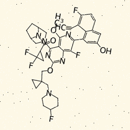 C#Cc1c(F)ccc2cc(O)cc(-c3nc(OC)c4c(N5CC6CCC(C5)N6C(=O)C5CC5(F)F)nc(OCC5(CN6CCC(F)CC6)CC5)nc4c3F)c12